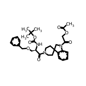 CC(=O)OCC(=O)N1CC2(CCN(C(=O)[C@@H](COCc3ccccc3)NC(=O)OC(C)(C)C)CC2)c2ccccc21